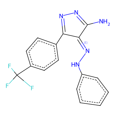 NC1=NN=C(c2ccc(C(F)(F)F)cc2)/C1=N\Nc1ccccc1